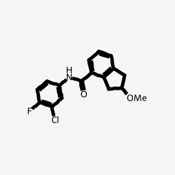 COC1Cc2cccc(C(=O)Nc3ccc(F)c(Cl)c3)c2C1